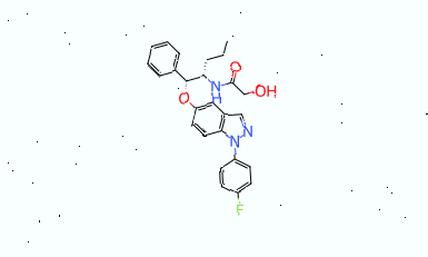 CCC[C@H](NC(=O)CO)[C@H](Oc1ccc2c(cnn2-c2ccc(F)cc2)c1)c1ccccc1